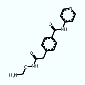 NCONC(=O)Cc1ccc(C(=O)Nc2ccncc2)cc1